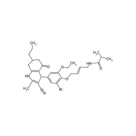 CCCC1CC(=O)C2=C(C1)NC(C)=C(C#N)C2c1cc(Br)c(OC/C=C/CNC(=O)C(C)C)c(OCC)c1